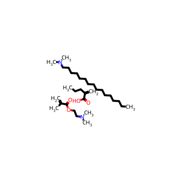 C=C(C)C(=O)OCCN(C)C.C=C(CCC)C(=O)O.CCCCCCCCCCCCCCCCN(C)C